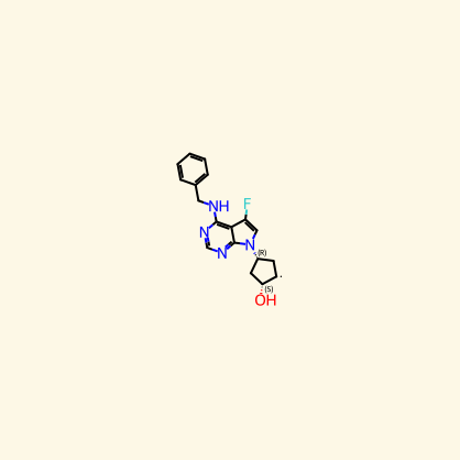 O[C@H]1[CH]C[C@@H](n2cc(F)c3c(NCc4ccccc4)ncnc32)C1